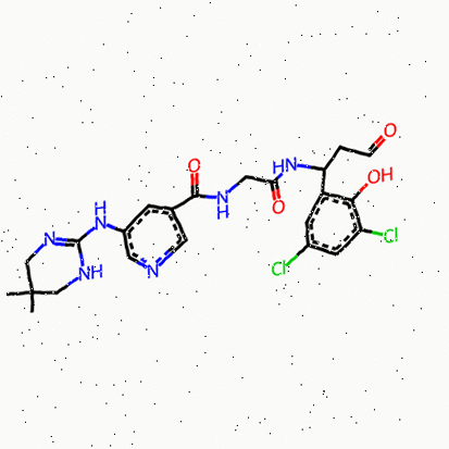 CC1(C)CN=C(Nc2cncc(C(=O)NCC(=O)NC(CC=O)c3cc(Cl)cc(Cl)c3O)c2)NC1